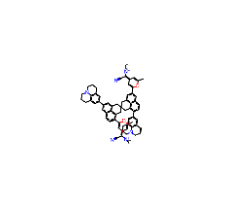 [C-]#[N+]/C(C#N)=C1\C=C(C)OC(c2cc3c4c(c(-c5cc6c7c(c5)CCCN7CCC6)ccc4c2)CC2(Cc4cc(-c5cc6c7c(c5)CCCN7CCC6)cc5ccc(C6=C/C(=C(\C#N)[N+]#[C-])C=C(C)O6)c(c45)C2)C3)=C1